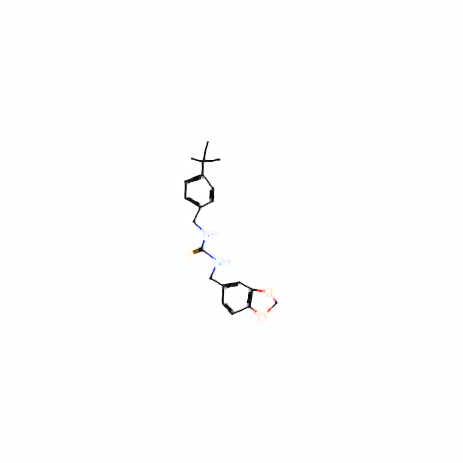 CC(C)(C)c1ccc(CNC(=S)NCc2ccc3c(c2)OCO3)cc1